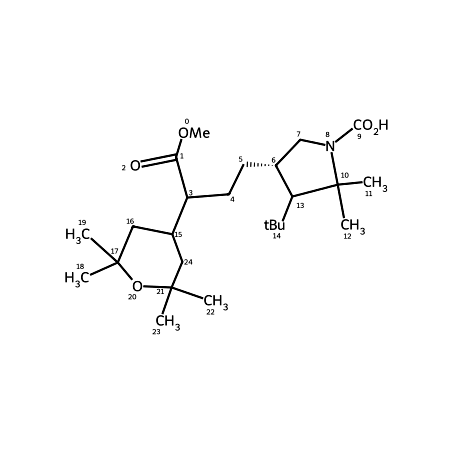 COC(=O)C(CC[C@@H]1CN(C(=O)O)C(C)(C)C1C(C)(C)C)C1CC(C)(C)OC(C)(C)C1